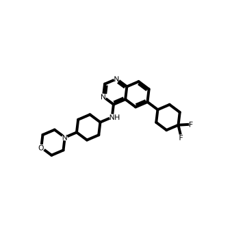 FC1(F)CCC(c2ccc3ncnc(NC4CCC(N5CCOCC5)CC4)c3c2)CC1